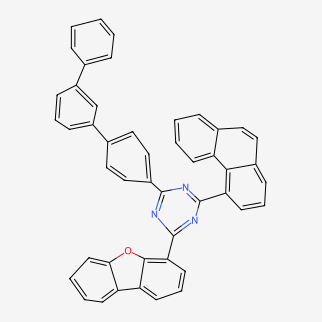 c1ccc(-c2cccc(-c3ccc(-c4nc(-c5cccc6c5oc5ccccc56)nc(-c5cccc6ccc7ccccc7c56)n4)cc3)c2)cc1